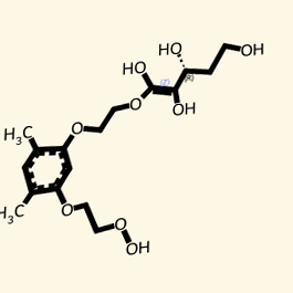 Cc1cc(C)c(OCCO/C(O)=C(\O)[C@H](O)CCO)cc1OCCOO